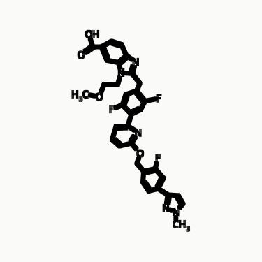 COCCn1c(Cc2cc(F)c(-c3cccc(OCc4ccc(-c5ccn(C)n5)cc4F)n3)cc2F)nc2ccc(C(=O)O)cc21